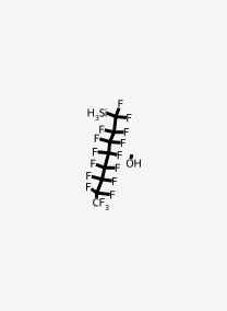 CO.FC(F)(F)C(F)(F)C(F)(F)C(F)(F)C(F)(F)C(F)(F)C(F)(F)C(F)(F)[SiH3]